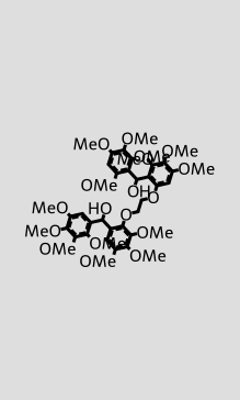 COc1cc(C(O)c2cc(OC)c(OC)c(OC)c2OCCOc2cc(OC)c(OC)c(OC)c2C(O)c2c(OC)cc(OC)c(OC)c2OC)c(OC)c(OC)c1OC